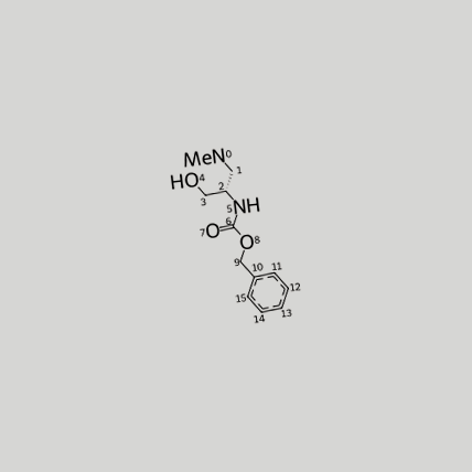 CNC[C@@H](CO)NC(=O)OCc1ccccc1